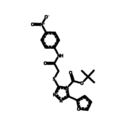 CC(C)(C)OC(=O)n1c(SCC(=O)Nc2ccc([N+](=O)[O-])cc2)nnc1-c1ccco1